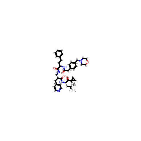 CC(C)C[C@H](NC(=O)[C@H](CNC(=O)C(CCc1ccccc1)NC(=O)Cc1ccc(CN2CCOCC2)cc1)Cc1ccncc1)C(=O)C1(C)CC1